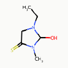 CCN1CC(=S)N(C)C1O